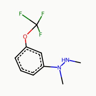 CNN(C)c1cccc(OC(F)(F)F)c1